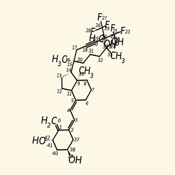 C=C1/C(=C\C=C2/CCC[C@@]3(C)C2CC[C@@H]3[C@@](C)(CC#CC(O)(C(F)(F)F)C(F)(F)F)CCCC(C)(C)O)C[C@@H](O)C[C@@H]1O